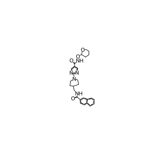 O=C(NCC1CCN(c2ncc(C(=O)NOC3CCCCO3)cn2)CC1)c1ccc2ccccc2c1